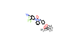 CC1(C)OB(c2ccc(Cn3c(=O)n(-c4ccc(C#N)c(C(F)(F)F)c4)c4ccccc43)cc2)OC1(C)C